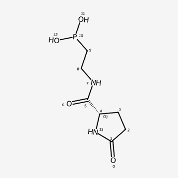 O=C1CC[C@@H](C(=O)NCCP(O)O)N1